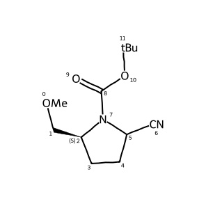 COC[C@@H]1CCC(C#N)N1C(=O)OC(C)(C)C